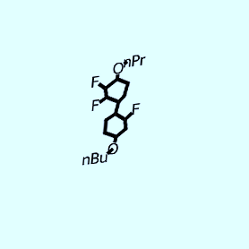 CCCCOC1CCC(C2CCC(OCCC)C(F)C2F)C(F)C1